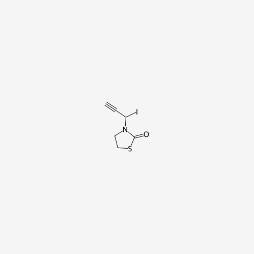 C#CC(I)N1CCSC1=O